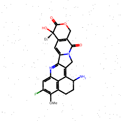 CC[C@@]1(O)C(=O)OCc2c1cc1n(c2=O)Cc2c-1nc1cc(F)c(OC)c3c1c2C(N)CC3